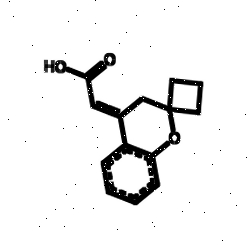 O=C(O)/C=C1\CC2(CCC2)Oc2ccccc21